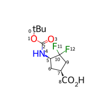 CC(C)(C)OC(=O)N[C@@H]1C[C@H](C(=O)O)CC1(F)F